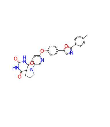 Cc1ccc(-c2ncc(-c3ccc(Oc4ccc(N5CCCC56C(=O)NC(=O)NC6=O)cn4)cc3)o2)cc1